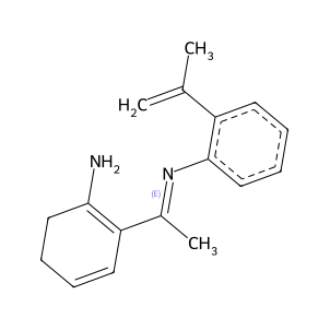 C=C(C)c1ccccc1/N=C(\C)C1=C(N)CCC=C1